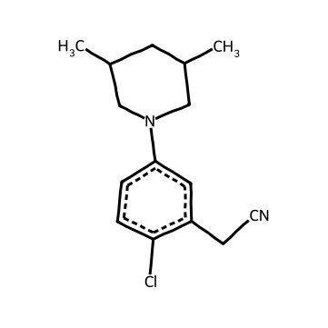 CC1CC(C)CN(c2ccc(Cl)c(CC#N)c2)C1